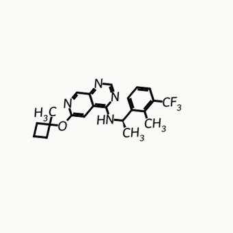 Cc1c([C@@H](C)Nc2ncnc3cnc(OC4(C)CCC4)cc23)cccc1C(F)(F)F